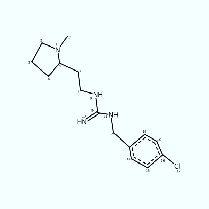 CN1CCCC1CCNC(=N)NCc1ccc(Cl)cc1